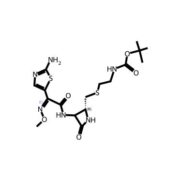 CO/N=C(\C(=O)NC1C(=O)N[C@H]1CSCCNC(=O)OC(C)(C)C)c1cnc(N)s1